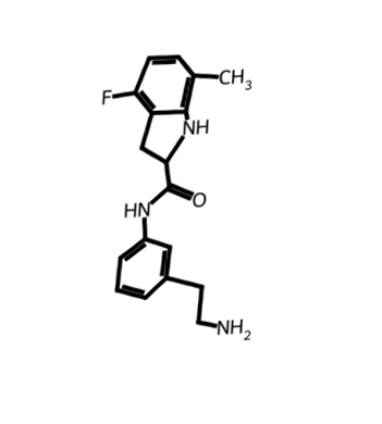 Cc1ccc(F)c2c1NC(C(=O)Nc1cccc(CCN)c1)C2